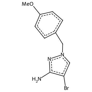 COc1ccc(Cn2cc(Br)c(N)n2)cc1